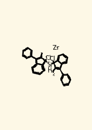 CC1=C(c2ccccc2)c2ccccc2C1(Cl)[SiH2]C1(Cl)C(C)=C(c2ccccc2)c2ccccc21.[Zr]